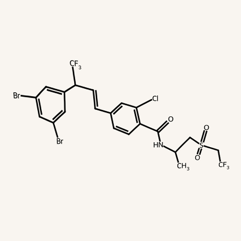 CC(CS(=O)(=O)CC(F)(F)F)NC(=O)c1ccc(/C=C/C(c2cc(Br)cc(Br)c2)C(F)(F)F)cc1Cl